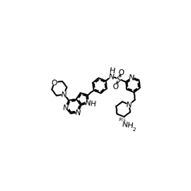 N[C@@H]1CCCN(Cc2ccnc(S(=O)(=O)Nc3ccc(-c4cc5c(N6CCOCC6)ncnc5[nH]4)cc3)c2)C1